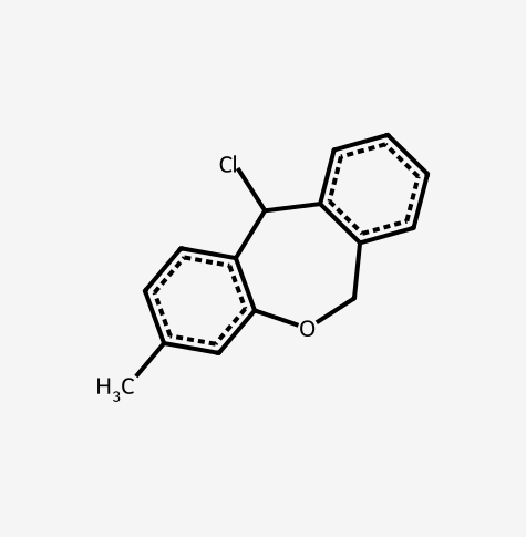 Cc1ccc2c(c1)OCc1ccccc1C2Cl